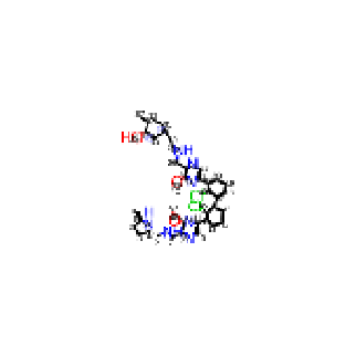 C=C1CC[C@@H](CNCc2ncc(-c3cccc(-c4cccc(-c5cnc(CNCCC(=C/C)/C=C(/O)CC)c(OC)n5)c4Cl)c3Cl)nc2OC)N1